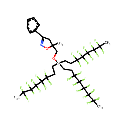 CC1(CO[Si](CCC(F)(F)C(F)(F)C(F)(F)C(F)(F)C(F)(F)C(F)(F)F)(CCC(F)(F)C(F)(F)C(F)(F)C(F)(F)C(F)(F)C(F)(F)F)CCC(F)(F)C(F)(F)C(F)(F)C(F)(F)C(F)(F)C(F)(F)F)CC(c2ccccc2)=NO1